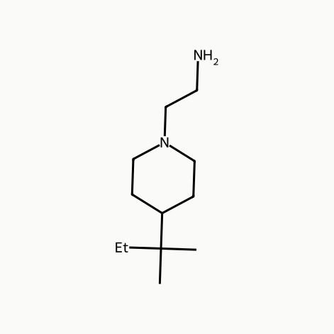 CCC(C)(C)C1CCN(CCN)CC1